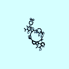 CCn1c(-c2cccnc2[C@H](C)OC)c2c3cc(ccc31)-c1csc(n1)C[C@H](NC(=O)[C@H](C(C)C)N(C)C(=O)N1CCS(=O)(=O)CC1)C(=O)N1CCC[C@H]([SiH2]N1)C(=O)OCC(C)(C)C2